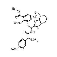 COc1ccc(C(N)C(=O)N[C@@H](Cc2cccc(C(=O)OC(C)(C)C)c2OC)B2OC3CCCC(C(C)C)[C@]3(C)O2)cn1